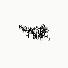 CCCNc1nc(Nc2ccc(C#N)cc2)ncc1C#CCCCNC(=O)[C@H]1CCCN1C(=O)OC(C)(C)C